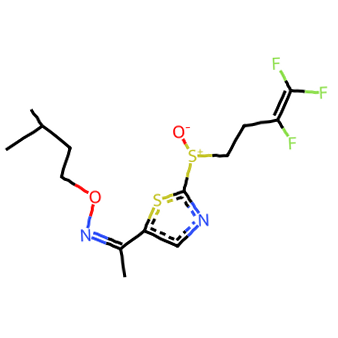 C/C(=N/OCCC(C)C)c1cnc([S+]([O-])CCC(F)=C(F)F)s1